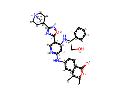 Cc1oc(=O)c2ccc(Nc3cc(N[C@H](CO)c4ccccc4)c(-c4nc(C56CCN(CC5)CC6)no4)cn3)cc2c1C